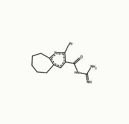 CC(C)c1nc2c(cc1C(=O)NC(=N)N)CCCCC2